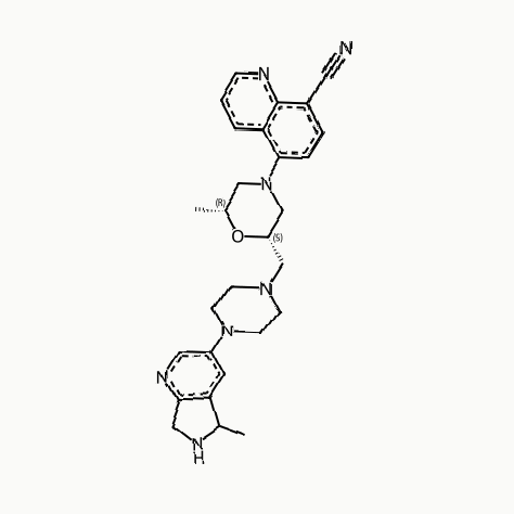 CC1NCc2ncc(N3CCN(C[C@H]4CN(c5ccc(C#N)c6ncccc56)C[C@@H](C)O4)CC3)cc21